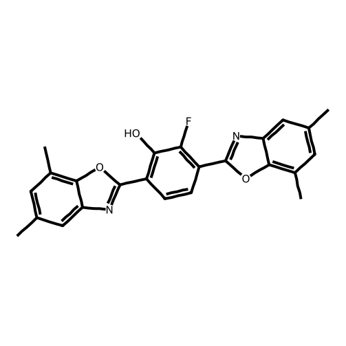 Cc1cc(C)c2oc(-c3ccc(-c4nc5cc(C)cc(C)c5o4)c(F)c3O)nc2c1